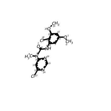 COc1cc(NC(=O)N(C)c2cc(Cl)ncn2)c(Cl)c(OC)c1